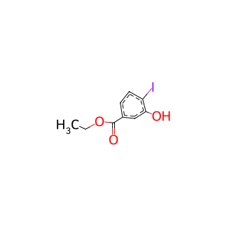 CCOC(=O)c1ccc(I)c(O)c1